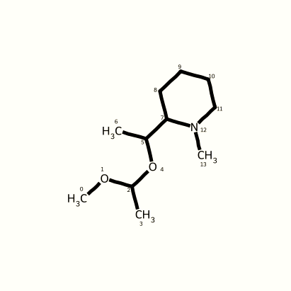 COC(C)OC(C)C1CCCCN1C